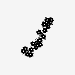 c1ccc2c(c1)Sc1c(-c3ccc4c5c(sc4c3)-c3ccccc3C53c4ccccc4-c4ccc(-c5ccc(N(c6cccc7ccccc67)c6cccc7ccccc67)cc5)cc43)cccc1N2c1ccc(-c2ccc3c(c2)C2(c4ccccc4-c4ccccc42)c2c-3sc3ccccc23)cc1